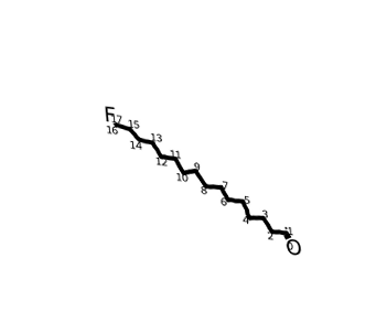 O=[C]CCCCCCCCCCCCCCCF